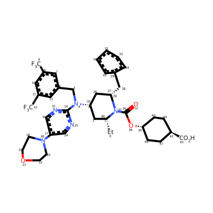 CC[C@@H]1C[C@H](N(Cc2cc(C(F)(F)F)cc(C(F)(F)F)c2)c2ncc(N3CCOCC3)cn2)C[C@H](Cc2ccccc2)N1C(=O)O[C@H]1CC[C@H](C(=O)O)CC1